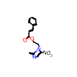 Cc1ncc([N+](=O)[O-])n1CCOC(=O)C=Cc1ccccc1